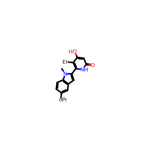 CCCc1ccc2c(c1)cc(-c1[nH]c(=O)cc(O)c1CC)n2C